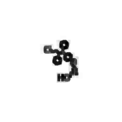 CN(CCO)CCOc1ccc(C(=C(CCCl)c2ccccc2)c2ccccc2)cc1